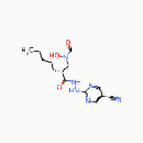 CCCCC[C@H](CN(O)C=O)C(=O)NNc1ncc(C#N)cn1